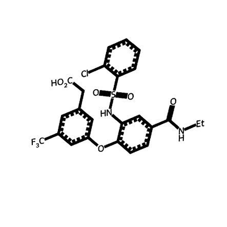 CCNC(=O)c1ccc(Oc2cc(CC(=O)O)cc(C(F)(F)F)c2)c(NS(=O)(=O)c2ccccc2Cl)c1